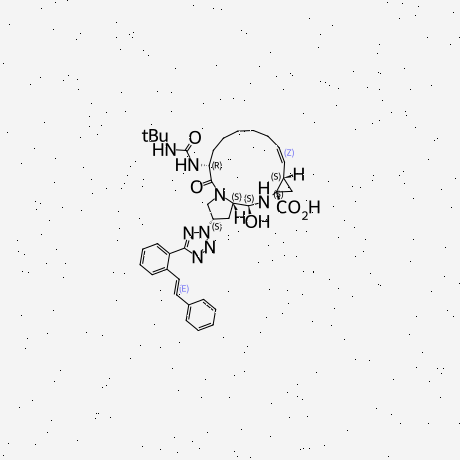 CC(C)(C)NC(=O)N[C@@H]1CCCCC/C=C\[C@@H]2C[C@]2(C(=O)O)N[C@@H](O)[C@@H]2C[C@H](n3nnc(-c4ccccc4/C=C/c4ccccc4)n3)CN2C1=O